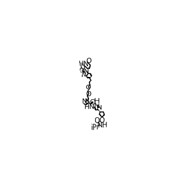 CC(C)NC(=O)O[C@@H]1CC[C@H](c2cc(NC(=O)c3ccnn3CCOCCOCCCc3ccc4c(c3)n(C)c(=O)n4C3CCC(=O)NC3=O)[nH]n2)C1